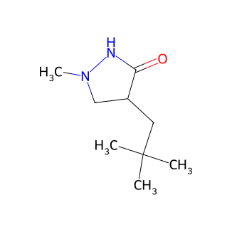 CN1CC(CC(C)(C)C)C(=O)N1